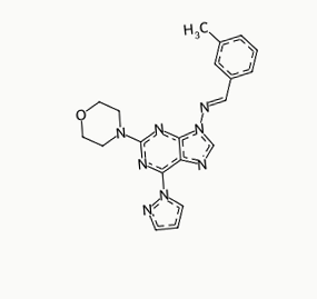 Cc1cccc(C=Nn2cnc3c(-n4cccn4)nc(N4CCOCC4)nc32)c1